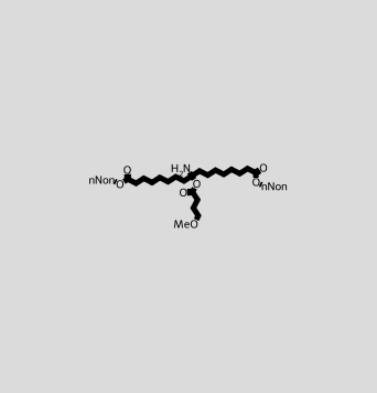 CCCCCCCCCOC(=O)CCCCCCCC(N)(CCCCCCCC(=O)OCCCCCCCCC)OC(=O)CCCOC